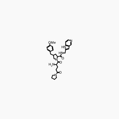 COc1ccc(CC2CC(C(=O)NCc3cc4cnccc4[nH]3)N(C(=O)C(N)CCC(=O)N3CCCC3)C2)cc1